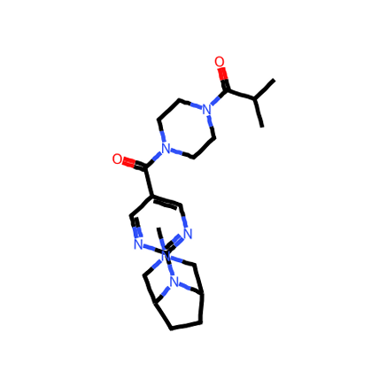 CC(C)C(=O)N1CCN(C(=O)c2cnc(N3C4CCC3CN(C)C4)nc2)CC1